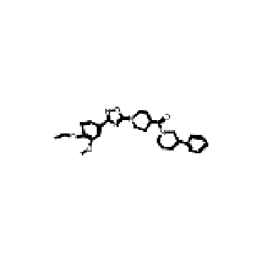 CCOc1ccc(-c2noc(N3CCC(C(=O)N4CCCC(c5ccccc5)C4)CC3)n2)cc1OC